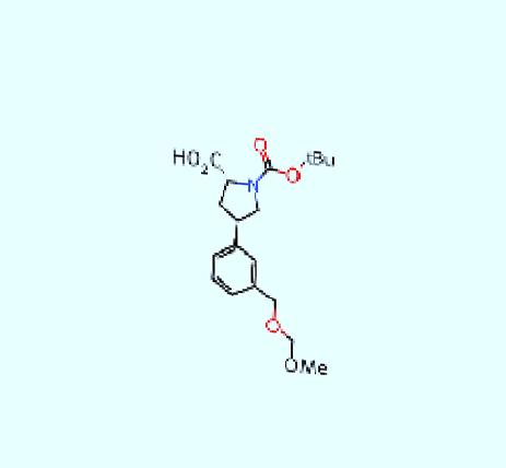 COCOCc1cccc([C@H]2C[C@H](C(=O)O)N(C(=O)OC(C)(C)C)C2)c1